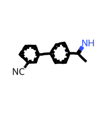 CC(=N)c1ccc(-c2cccc(C#N)c2)cc1